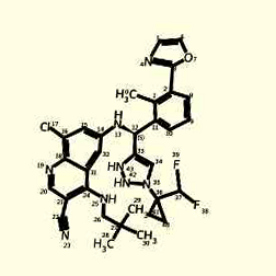 Cc1c(-c2ncco2)cccc1[C@H](Nc1cc(Cl)c2ncc(C#N)c(NCC(C)(C)C)c2c1)C1=CN(C2(C(F)F)CC2)NN1